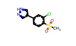 CS(=O)(=O)c1ccc(-c2cn[nH]c2)cc1Cl